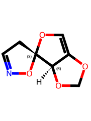 C1=NO[C@]2(C1)OC=C1OCO[C@H]12